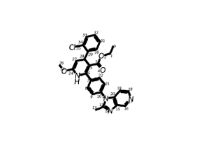 CCOC(=O)C1=C(c2ccc(-n3c(C)nc4cnccc43)cc2)NC(OC)=CC1c1ccccc1Cl